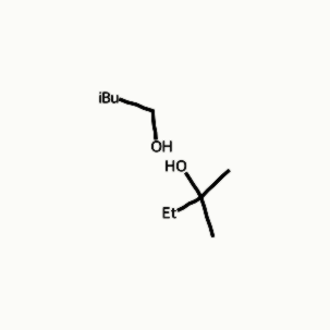 CCC(C)(C)O.CCC(C)CO